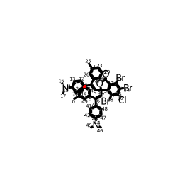 Cc1cccc(/C(=C\C2(/C=C(/c3ccc(N(C)C)cc3)c3cccc(C)c3)OC(=O)c3c(Br)c(Br)c(Cl)c(Br)c32)c2ccc(N(C)C)cc2)c1